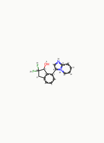 OC1c2c(cccc2-c2cnc3ccccn23)CC1(F)F